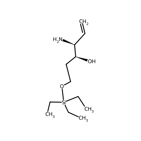 C=C[C@H](N)[C@@H](O)CCO[Si](CC)(CC)CC